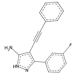 Nc1[nH]nc(-c2cccc(F)c2)c1C#Cc1ccccc1